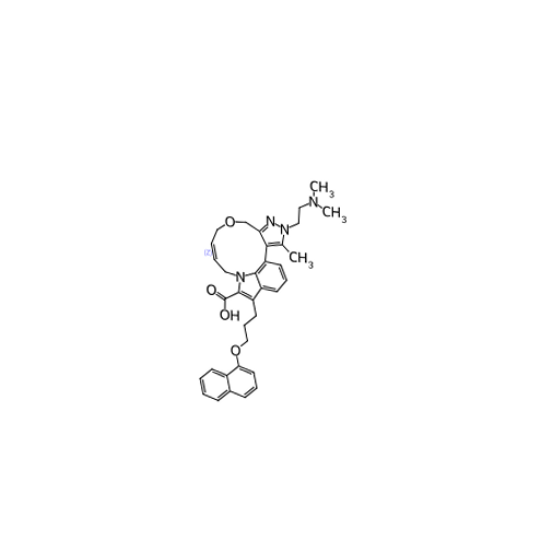 Cc1c2c(nn1CCN(C)C)COC/C=C\Cn1c(C(=O)O)c(CCCOc3cccc4ccccc34)c3cccc-2c31